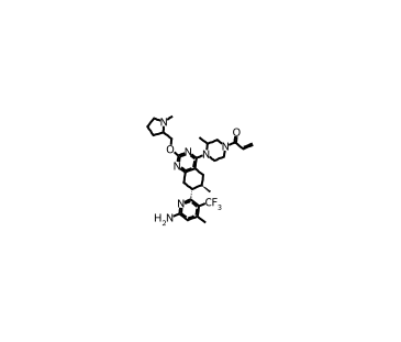 C=CC(=O)N1CCN(c2nc(OCC3CCCN3C)nc3c2C[C@@H](C)[C@H](c2nc(N)cc(C)c2C(F)(F)F)C3)C(C)C1